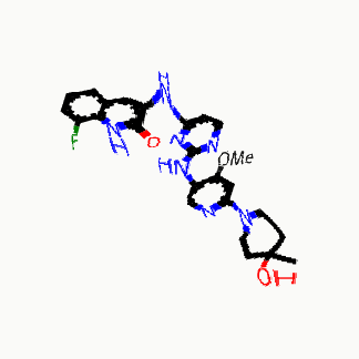 COc1cc(N2CCC(C)(O)CC2)ncc1Nc1nccc(Nc2cc3cccc(F)c3[nH]c2=O)n1